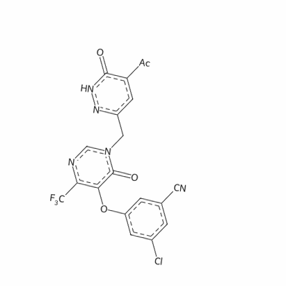 CC(=O)c1cc(Cn2cnc(C(F)(F)F)c(Oc3cc(Cl)cc(C#N)c3)c2=O)n[nH]c1=O